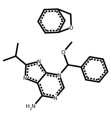 COC(c1ccccc1)n1cnc(N)c2nc(C(C)C)nc1-2.c1cc2cc(c1)OC2